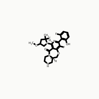 COC1CN(c2nc(-c3c(O)cccc3F)c(F)c3c2C(=O)N2CCNC[C@@H]2CO3)C(C)(C)C1